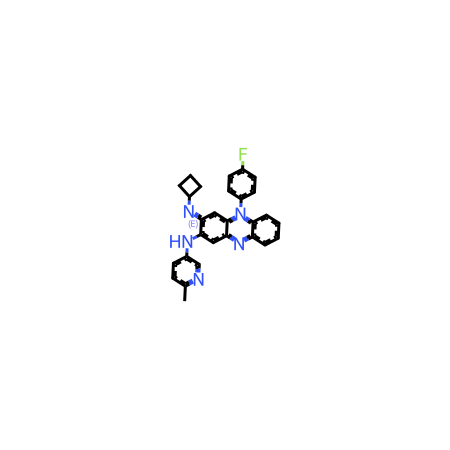 Cc1ccc(Nc2cc3nc4ccccc4n(-c4ccc(F)cc4)c-3c/c2=N\C2CCC2)cn1